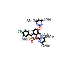 COc1cc(OC)nc(Oc2ccc(C(c3ccc(Cl)cc3)P(=O)(OC)OC)c(Oc3nc(OC)cc(OC)n3)c2C(=O)O)n1